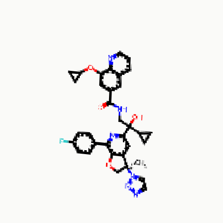 C[C@]1(n2ccnn2)COc2c1cc(C(O)(CNC(=O)c1cc(OC3CC3)c3ncccc3c1)C1CC1)nc2-c1ccc(F)cc1